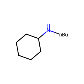 [CH2-][CH+]CCNC1CCCCC1